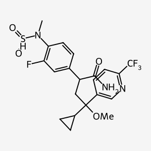 COC(CC(C(N)=O)c1ccc(N(C)[SH](=O)=O)c(F)c1)(c1ccc(C(F)(F)F)nc1)C1CC1